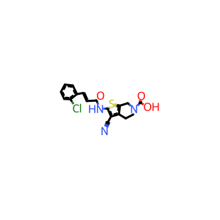 N#Cc1c(NC(=O)C=Cc2ccccc2Cl)sc2c1CCN(C(=O)O)C2